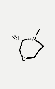 CN1CCOCC1.[KH]